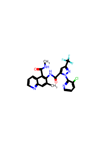 CNC(=O)c1c(NC(=O)c2cc(C(F)(F)F)nn2-c2ncccc2Cl)c(C)cc2ncccc12